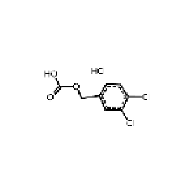 Cl.O=C(O)OCc1ccc(Cl)c(Cl)c1